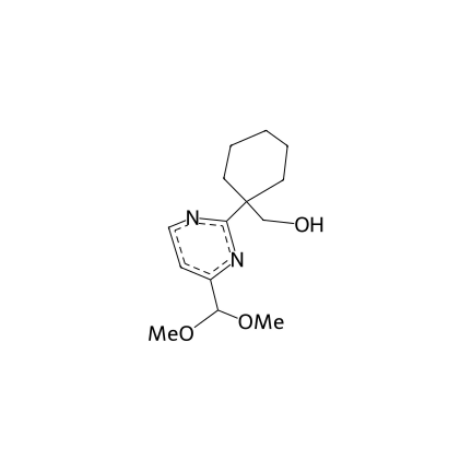 COC(OC)c1ccnc(C2(CO)CCCCC2)n1